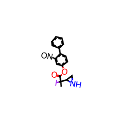 CC(I)(C(=O)Oc1ccc(-c2ccccc2)c(N=O)c1)C1CN1